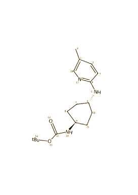 Cc1ccc(N[C@H]2CC[C@H](NC(=O)OC(C)(C)C)CC2)nc1